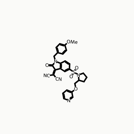 COc1ccc(CN2C(=O)C(=C(C#N)C#N)c3cc(S(=O)(=O)N4CCCC4COc4cccnc4)ccc32)cc1